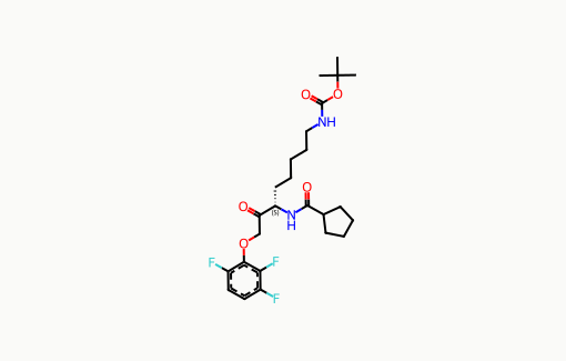 CC(C)(C)OC(=O)NCCCCC[C@H](NC(=O)C1CCCC1)C(=O)COc1c(F)ccc(F)c1F